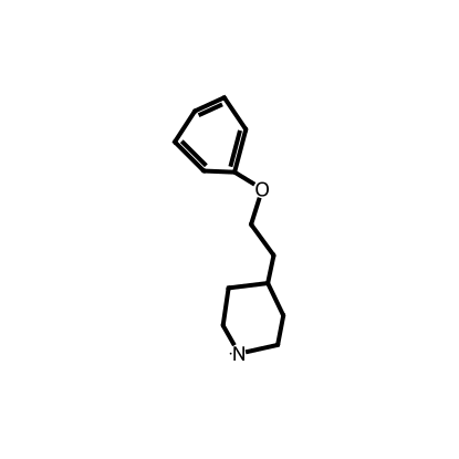 c1ccc(OCCC2CC[N]CC2)cc1